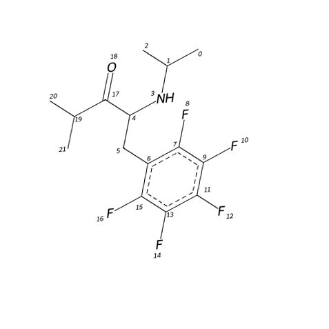 CC(C)NC(Cc1c(F)c(F)c(F)c(F)c1F)C(=O)C(C)C